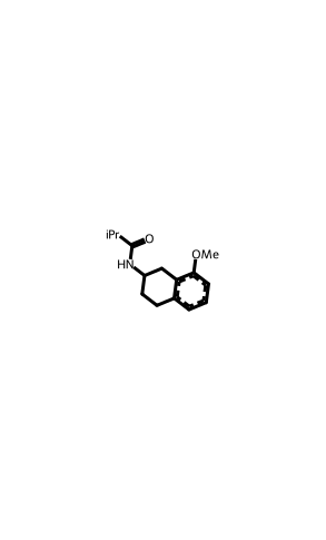 COc1cccc2c1CC(NC(=O)C(C)C)CC2